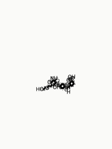 Cc1c(/N=N/c2ccc(S(=O)(=O)Nc3cccc(S(=O)(=O)O)c3)cc2)c(O)n(CCOCCO)c(=O)c1N